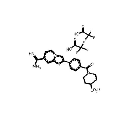 N=C(N)c1ccn2cc(-c3ccc(C(=O)N4CCC(C(=O)O)CC4)cc3)nc2c1.O=C(O)C(F)(F)F.O=C(O)C(F)(F)F